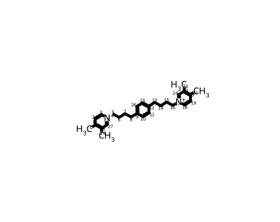 Cc1cc[n+](CCCCc2ccc(CCCC[n+]3ccc(C)c(C)c3)cc2)cc1C